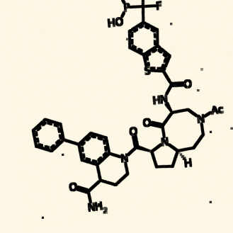 CC(=O)N1CC[C@H]2CC[C@@H](C(=O)N3CCC(C(N)=O)c4cc(-c5ccccc5)ccc43)N2C(=O)[C@@H](NC(=O)c2cc3cc(C(F)(F)P(O)O)ccc3s2)C1